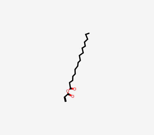 C=CC(=O)OC(=O)CCCCCCCCCCCCCCCC